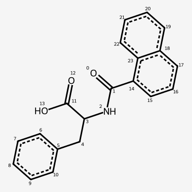 O=C(NC(Cc1ccccc1)C(=O)O)c1cccc2ccccc12